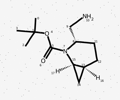 CC(C)(C)OC(=O)N1[C@H](CN)CC[C@H]2C[C@H]21